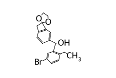 CCc1ccc(Br)cc1C(O)c1ccc2c(c1)C1(C2)OCCO1